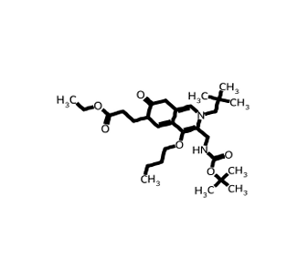 CCCCOC1=C(CNC(=O)OC(C)(C)C)N(CC(C)(C)C)C=C2CC(=O)C(CCC(=O)OCC)C=C21